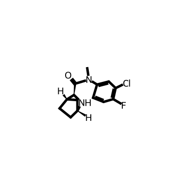 CN(C(=O)[C@H]1N[C@@H]2CC[C@H]1C2)c1ccc(F)c(Cl)c1